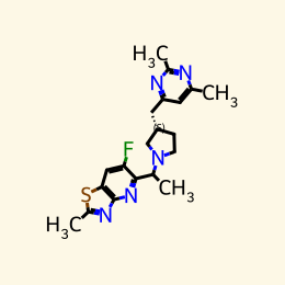 Cc1cc(C[C@@H]2CCN(C(C)c3nc4nc(C)sc4cc3F)C2)nc(C)n1